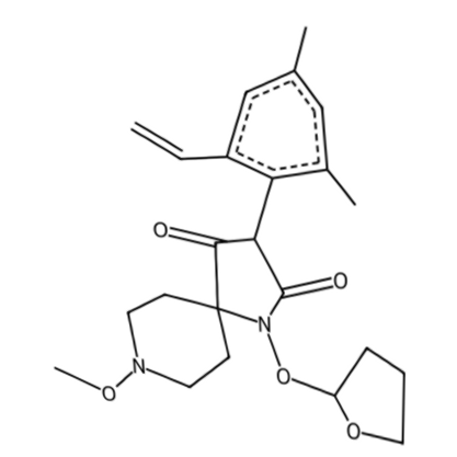 C=Cc1cc(C)cc(C)c1C1C(=O)N(OC2CCCO2)C2(CCN(OC)CC2)C1=O